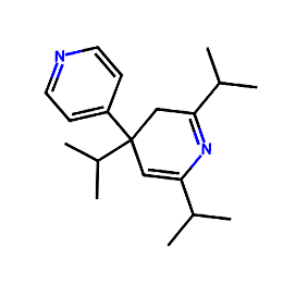 CC(C)C1=CC(c2ccncc2)(C(C)C)CC(C(C)C)=N1